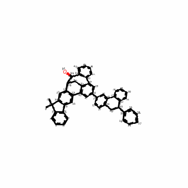 CC1(C)c2ccccc2-c2cc3c(cc21)C1Cc2c(cc(-c4ccc5c(c4)-c4ccccc4C(c4ccccc4)C5)cc2-3)-c2ccccc2C1=O